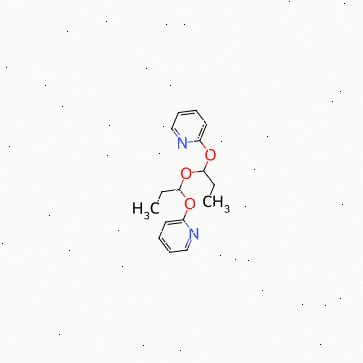 CCC(Oc1ccccn1)OC(CC)Oc1ccccn1